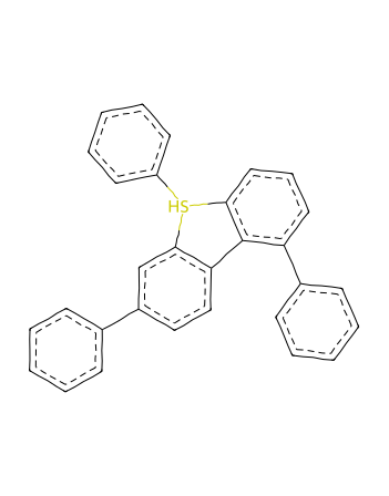 c1ccc(-c2ccc3c(c2)[SH](c2ccccc2)c2cccc(-c4ccccc4)c2-3)cc1